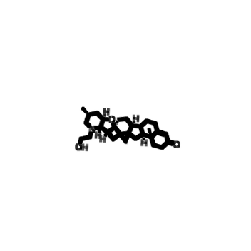 C[C@H]1C[C@H]2O[C@@]34CC[C@H]5C6CCC7=CC(=O)CC[C@]7(C)[C@H]6CC56CC63C[C@@H]4[C@@H]2N(CCO)C1